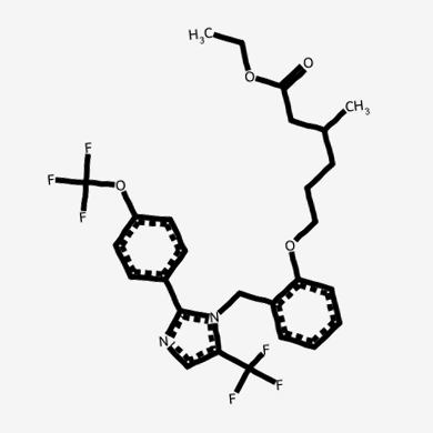 CCOC(=O)CC(C)CCCOc1ccccc1Cn1c(C(F)(F)F)cnc1-c1ccc(OC(F)(F)F)cc1